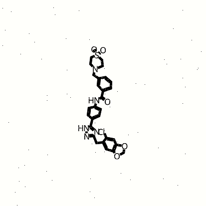 O=C(Nc1ccc(-c2nc(Cc3cc4c(cc3Cl)OCO4)n[nH]2)cc1)c1cccc(CN2CCS(=O)(=O)CC2)c1